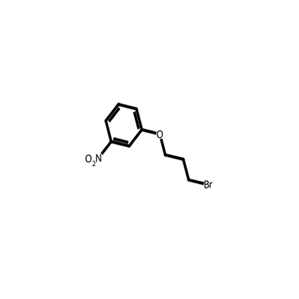 O=[N+]([O-])c1cccc(OCCCBr)c1